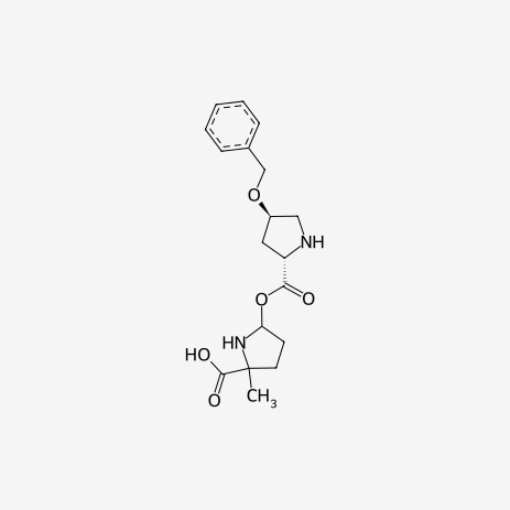 CC1(C(=O)O)CCC(OC(=O)[C@@H]2C[C@@H](OCc3ccccc3)CN2)N1